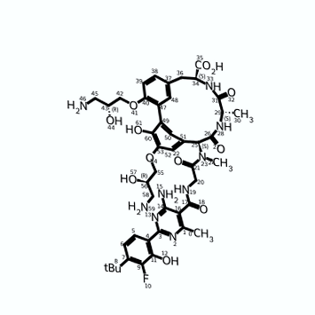 Cc1nc(-c2ccc(C(C)(C)C)c(F)c2O)nc(N)c1C(=O)NCC(=O)N(C)[C@@H]1C(=O)N[C@@H](C)C(=O)N[C@H](C(=O)O)Cc2ccc(OC[C@H](O)CN)c(c2)-c2cc1cc(OC[C@H](O)CN)c2O